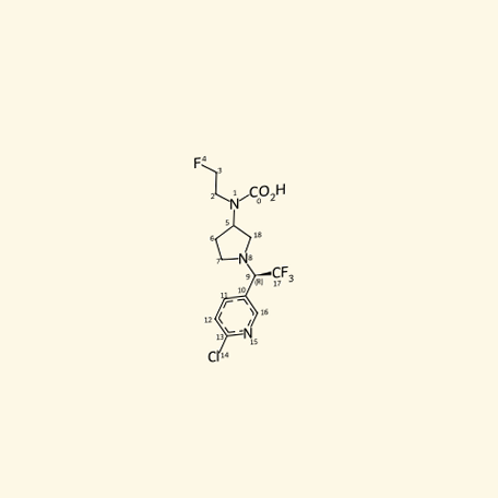 O=C(O)N(CCF)C1CCN([C@H](c2ccc(Cl)nc2)C(F)(F)F)C1